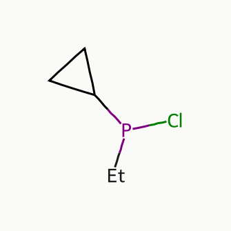 CCP(Cl)C1CC1